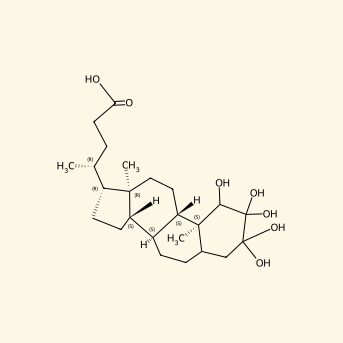 C[C@H](CCC(=O)O)[C@H]1CC[C@H]2[C@@H]3CCC4CC(O)(O)C(O)(O)C(O)[C@]4(C)[C@H]3CC[C@]12C